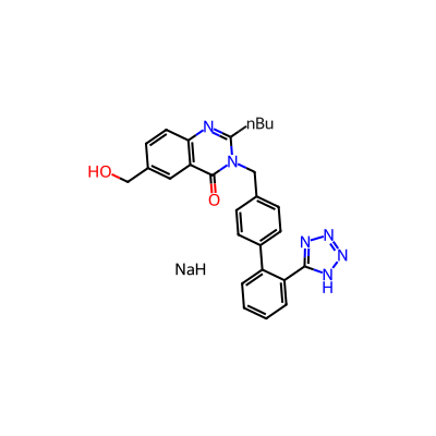 CCCCc1nc2ccc(CO)cc2c(=O)n1Cc1ccc(-c2ccccc2-c2nnn[nH]2)cc1.[NaH]